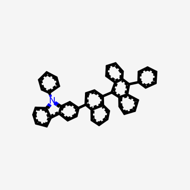 c1ccc(-c2c3ccccc3c(-c3ccc(-c4ccc5c6ccccc6n(-c6ccccc6)c5c4)c4ccccc34)c3ccccc23)cc1